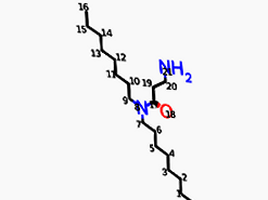 CCCCCCCCN(CCCCCCCC)C(=O)CCN